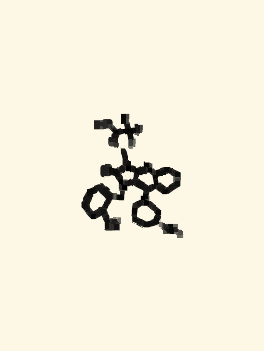 Cn1c(=O)n(Cc2ccccc2C#N)c2c(N3CCC[C@@H](N)C3)c3ccccc3nc21.O=C(O)C(F)(F)F